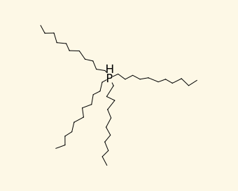 CCCCCCCCCCC[PH](CCCCCCCCCCC)(CCCCCCCCCCC)CCCCCCCCCCC